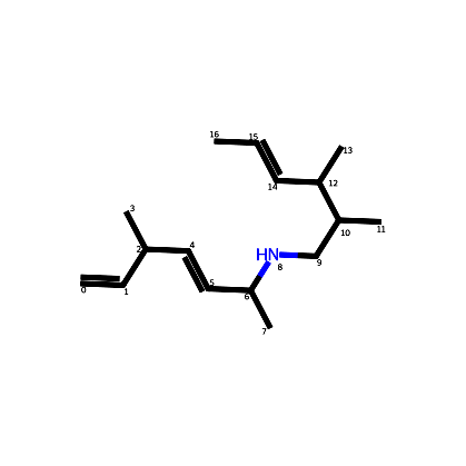 C=CC(C)/C=C/C(C)NCC(C)C(C)/C=C/C